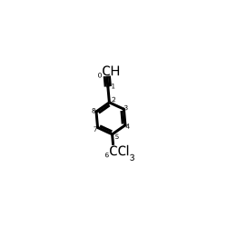 C#Cc1ccc(C(Cl)(Cl)Cl)cc1